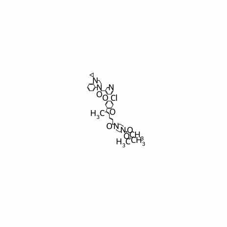 Cc1c(/C=C/C(=O)N2CCN(C(=O)OC(C)(C)C)CC2)oc2cc(Cl)c(Oc3ccncc3C(=O)N3CCN(C4CC4)c4ccccc43)cc12